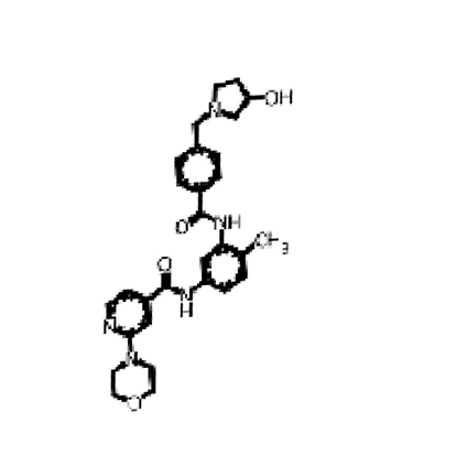 Cc1ccc(NC(=O)c2ccnc(N3CCOCC3)c2)cc1NC(=O)c1ccc(CN2CCC(O)C2)cc1